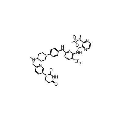 CN(Cc1ccc(N2CCC(=O)NC2=O)cn1)C1CCN(c2ccc(Nc3ncc(C(F)(F)F)c(NCc4nccnc4N(C)S(C)(=O)=O)n3)cc2)CC1